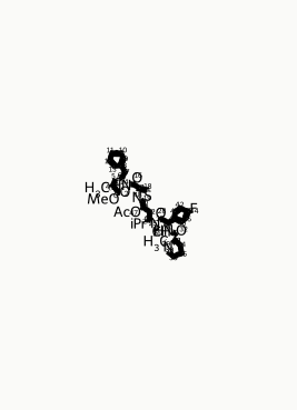 COC(=O)[C@@H](C)C[C@H](Cc1ccccc1)NC(=O)c1csc([C@@H](C[C@H](C(C)C)N(C)C(=O)[C@@H](NC(=O)[C@H]2CCCCN2C)c2ccc(F)cc2)OC(C)=O)n1